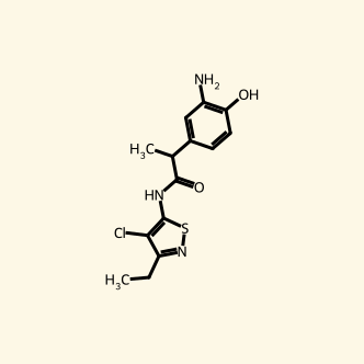 CCc1nsc(NC(=O)C(C)c2ccc(O)c(N)c2)c1Cl